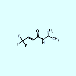 CC(C)NC(=O)/C=C/C(F)(F)F